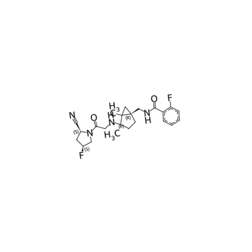 CC12C[C@]1(CNC(=O)c1ccccc1F)CC[C@@]2(C)NCC(=O)N1C[C@@H](F)C[C@H]1C#N